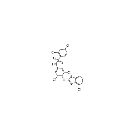 Cc1cc(S(=O)(=O)Nc2cc(Cl)c(Oc3nc4c(Cl)cccc4s3)c(Cl)c2)c(Cl)cc1Cl